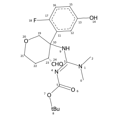 CN(C)C(=NC(=O)OC(C)(C)C)NC1(c2cc(O)ccc2F)COCC[C@H]1C=O